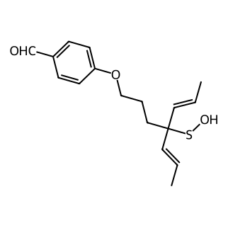 CC=CC(C=CC)(CCCOc1ccc(C=O)cc1)SO